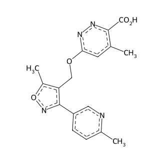 Cc1ccc(-c2noc(C)c2COc2cc(C)c(C(=O)O)nn2)cn1